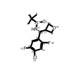 CC(C)(C)[S+]([O-])N[C@@H](c1cc(F)c(Cl)cc1F)C1COC1